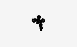 Cc1cc2c3c(c1)N(c1ccc4c(c1)sc1cc(C(C)(C)C)ccc14)c1cc4c(cc1B3c1cc3c(cc1N2c1ccc2c(c1)C(C)(C)CCC2(C)C)C(C)(C)CCC3(C)C)C(C)(C)CCC4(C)C